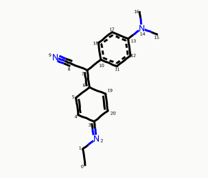 CCN=C1C=CC(=C(C#N)c2ccc(N(C)C)cc2)C=C1